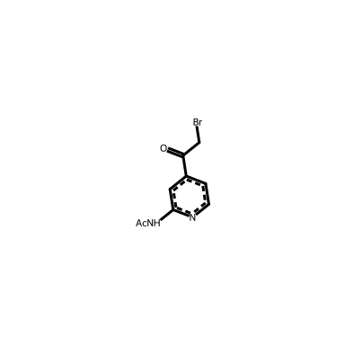 CC(=O)Nc1cc(C(=O)CBr)ccn1